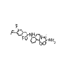 C[C@H](C(N)=O)n1ccc2c(NC(=O)Cc3cc(F)c(F)cc3F)cccc2c1=O